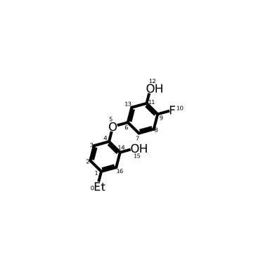 CCc1ccc(Oc2ccc(F)c(O)c2)c(O)c1